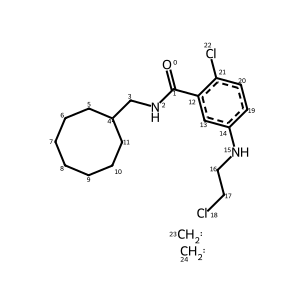 O=C(NC[C]1CCCCCCC1)c1cc(NCCCl)ccc1Cl.[CH2].[CH2]